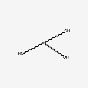 OCCCCCCCCCCCCN(CCCCCCCCCCCCO)CCCCCCCCCCCCO